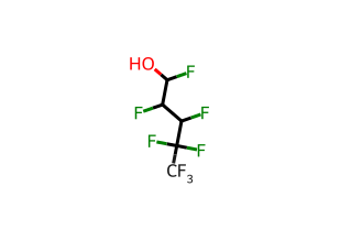 OC(F)C(F)C(F)C(F)(F)C(F)(F)F